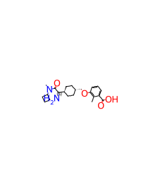 Cc1c(OC[C@H]2CC[C@H]([C@H](N)C(=O)N(C)C3CCC3)CC2)cccc1C(=O)O